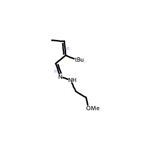 C/C=C(\C=N/NCCOC)C(C)(C)C